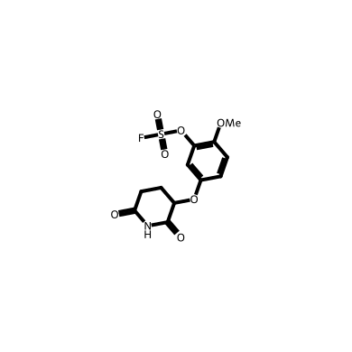 COc1ccc(OC2CCC(=O)NC2=O)cc1OS(=O)(=O)F